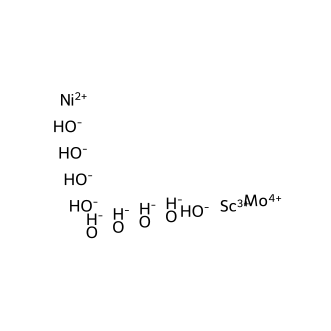 [Mo+4].[Ni+2].[OH-].[OH-].[OH-].[OH-].[OH-].[OH-].[OH-].[OH-].[OH-].[Sc+3]